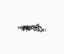 O=C(COc1ccc(Cl)cc1Cl)Nc1ccc2nc(N3CC4CC3CN4)ncc2c1